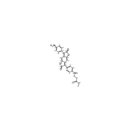 COC(=O)CCNc1ccc(C2=c3cc4c(cc3OC2=O)=C(c2ccc(N)cc2)C(=O)O4)cc1